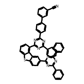 N#Cc1cccc(-c2ccc(-c3nc(-c4ccccc4)nc(-c4cccc5sc6ccc(-c7nc(-c8ccccc8)nc(-c8ccccc8)n7)cc6c45)n3)cc2)c1